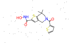 CC1(C)CN(C(=O)c2cccs2)Cc2cc(C(=O)NO)sc21